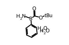 CC(C)(C)OC(=O)B(N)c1ccccc1.O.O